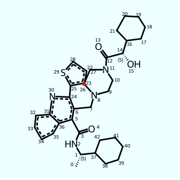 C[C@H](NC(=O)c1c(CN2CCN(C(=O)[C@@H](O)C3CCCCC3)CC2)c(-c2cccs2)nc2ccccc12)C1CCCCC1